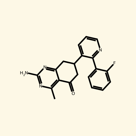 Cc1nc(N)nc2c1C(=O)CC(c1cccnc1-c1ccccc1F)C2